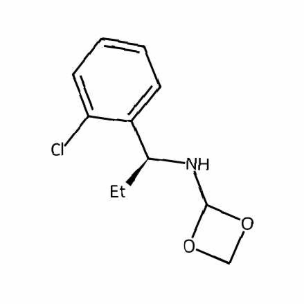 CC[C@H](NC1OCO1)c1ccccc1Cl